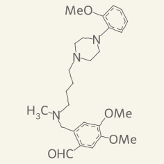 COc1cc(C=O)c(CN(C)CCCCN2CCN(c3ccccc3OC)CC2)cc1OC